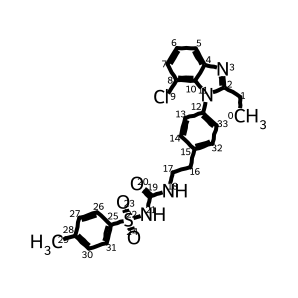 CCc1nc2cccc(Cl)c2n1-c1ccc(CCNC(=O)NS(=O)(=O)c2ccc(C)cc2)cc1